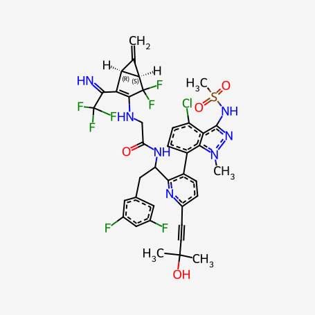 C=C1[C@@H]2C(C(=N)C(F)(F)F)=C(NCC(=O)NC(Cc3cc(F)cc(F)c3)c3nc(C#CC(C)(C)O)ccc3-c3ccc(Cl)c4c(NS(C)(=O)=O)nn(C)c34)C(F)(F)[C@H]12